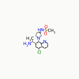 CC(N)c1cc(Cl)c2cccnc2c1N1CC[C@H](NS(C)(=O)=O)C1